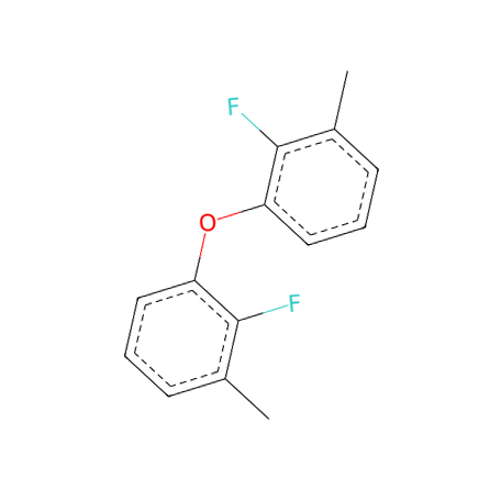 Cc1cccc(Oc2cccc(C)c2F)c1F